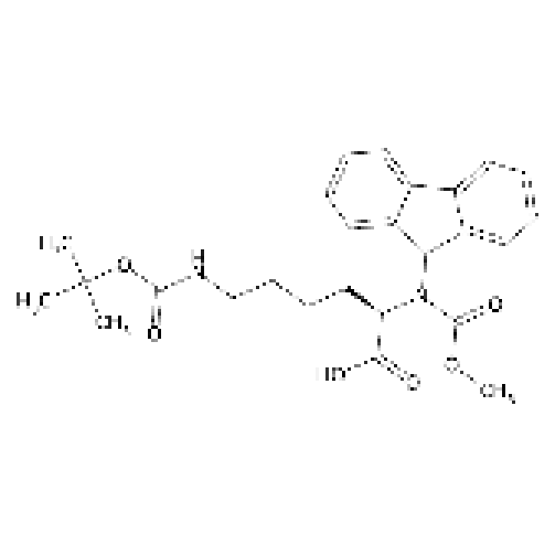 COC(=O)N(C1c2ccccc2-c2ccccc21)[C@H](CCCCNC(=O)OC(C)(C)C)C(=O)O